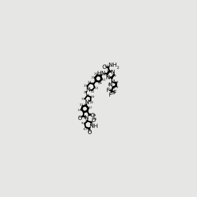 NC(=O)c1ncc(-n2ccc(C(F)(F)F)n2)nc1Nc1ccc(C2CCN(C[C@H]3CCN(c4ccc5c(c4)C(=O)N(C4CCC(=O)NC4=O)C5=O)C3)CC2)cc1